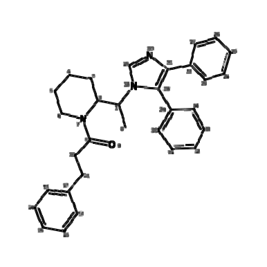 CC(C1CCCCN1C(=O)CCc1ccccc1)n1cnc(-c2ccccc2)c1-c1ccccc1